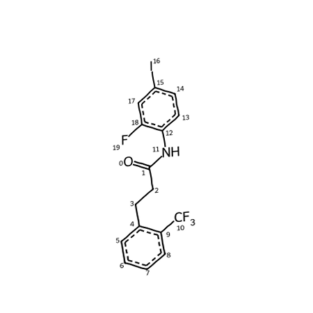 O=C(CCc1ccccc1C(F)(F)F)Nc1ccc(I)cc1F